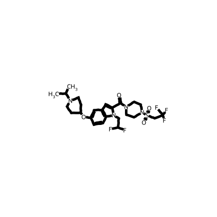 CC(C)N1CCC(Oc2ccc3c(c2)cc(C(=O)N2CCN(S(=O)(=O)CC(F)(F)F)CC2)n3CC(F)F)CC1